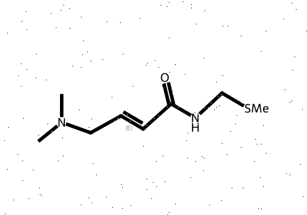 CSCNC(=O)/C=C/CN(C)C